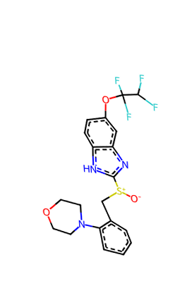 [O-][S+](Cc1ccccc1N1CCOCC1)c1nc2cc(OC(F)(F)C(F)F)ccc2[nH]1